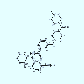 CN1CCN(C(=O)C2CCN(Cc3cccc(C(=O)NN(c4nc(C#N)ncc4Br)C4CCCCC4)c3)CC2)CC1